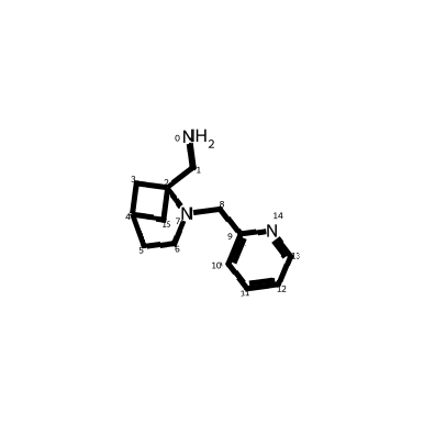 NCC12CC(CCN1Cc1ccccn1)C2